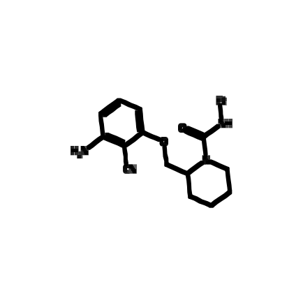 CCNC(=O)N1CCCCC1COc1cccc(N)c1C#N